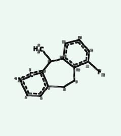 CC1c2cnccc2CCc2c(F)cccc21